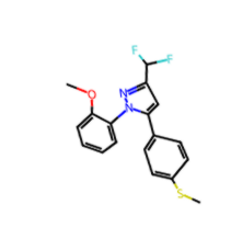 COc1ccccc1-n1nc(C(F)F)cc1-c1ccc(SC)cc1